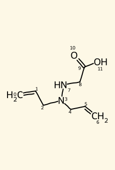 C=CCN(CC=C)NCC(=O)O